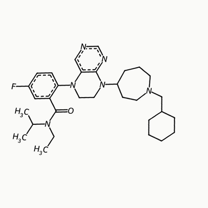 CCN(C(=O)c1cc(F)ccc1N1CCN(C2CCCN(CC3CCCCC3)CC2)c2ncncc21)C(C)C